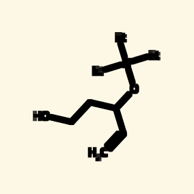 C=CC(CCO)O[Si](CC)(CC)CC